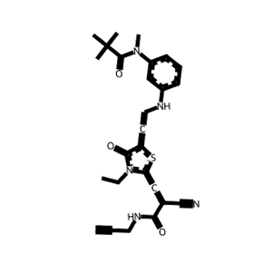 C#CCNC(=O)C(=C=c1sc(=C=CNc2cccc(N(C)C(=O)C(C)(C)C)c2)c(=O)n1CC)C#N